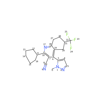 Cn1nccc1-c1c(C#N)c(C2CCCCC2)nc2c1CC(C(F)(F)F)CC2